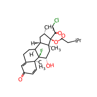 CC(C)CC(=O)O[C@]1(C(=O)CCl)[C@@H](C)C[C@H]2[C@@H]3CCC4=CC(=O)C=C[C@]4(C)[C@@]3(F)[C@@H](O)C[C@@]21C